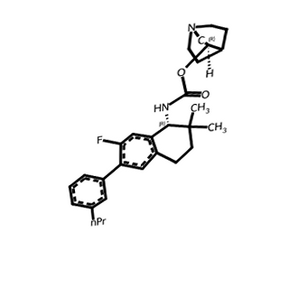 CCCc1cccc(-c2cc3c(cc2F)[C@H](NC(=O)O[C@H]2CN4CCC2CC4)C(C)(C)CC3)c1